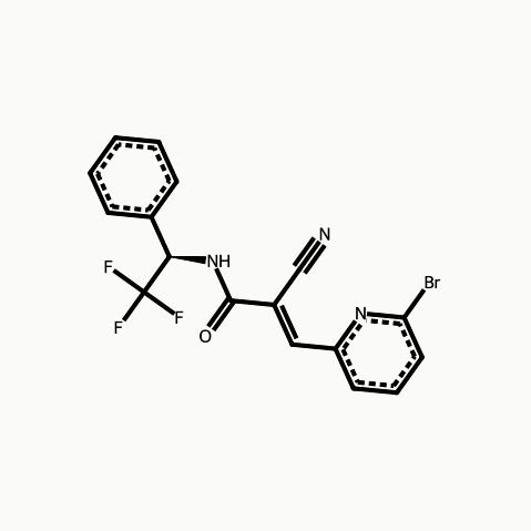 N#C/C(=C\c1cccc(Br)n1)C(=O)N[C@H](c1ccccc1)C(F)(F)F